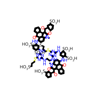 Cn1c(=O)c(C(=O)c2cccc(S(=O)(=O)O)c2)c2c3c(c(Nc4cc(Nc5nc(NCCNc6nc(Nc7cc(Nc8ccc9c%10c8C(=O)c8ccccc8-c%10c(C(=O)c8cccc(S(=O)(=O)O)c8)c(=O)n9C)c(S(=O)(=O)O)cc7S(=O)(=O)O)nc(SCCCS(=O)(=O)O)n6)nc(SCCCS(=O)(=O)O)n5)c(S(=O)(=O)O)cc4S(=O)(=O)O)ccc31)C(=O)c1ccccc1-2